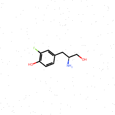 N[C@H](CO)Cc1ccc(O)c(F)c1